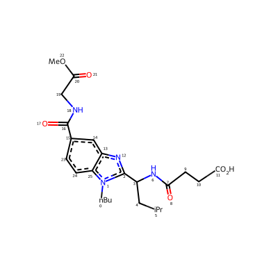 CCCCn1c(C(CC(C)C)NC(=O)CCC(=O)O)nc2cc(C(=O)NCC(=O)OC)ccc21